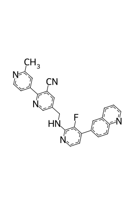 Cc1cc(-c2ncc(CNc3nccc(-c4ccc5ncccc5c4)c3F)cc2C#N)ccn1